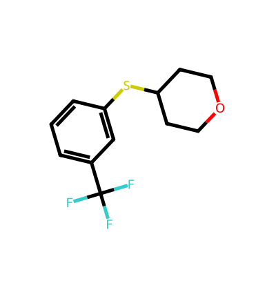 FC(F)(F)c1cccc(SC2CCOCC2)c1